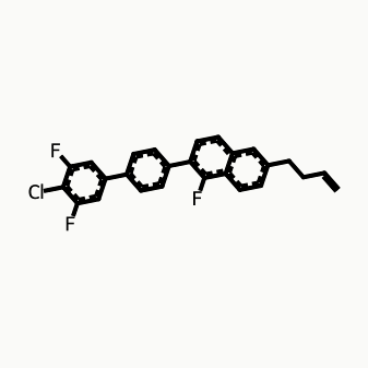 C=CCCc1ccc2c(F)c(-c3ccc(-c4cc(F)c(Cl)c(F)c4)cc3)ccc2c1